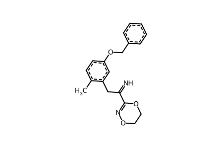 Cc1ccc(OCc2ccccc2)cc1CC(=N)C1=NOCCO1